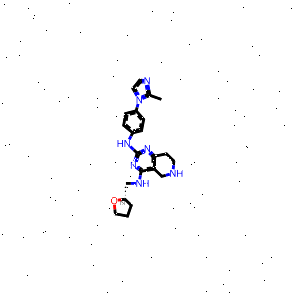 Cc1nccn1-c1ccc(Nc2nc3c(c(NC[C@@H]4CCCO4)n2)CNCC3)cc1